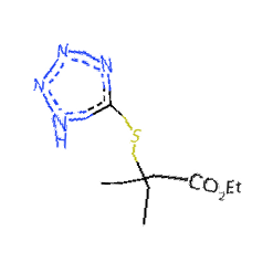 CCOC(=O)C(C)(C)Sc1nnn[nH]1